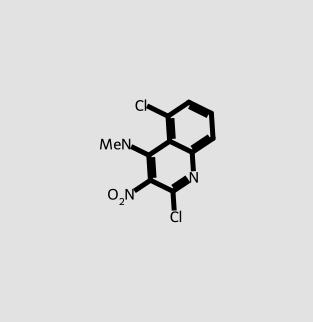 CNc1c([N+](=O)[O-])c(Cl)nc2cccc(Cl)c12